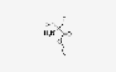 CCCOC(=O)C(N)(CF)CF